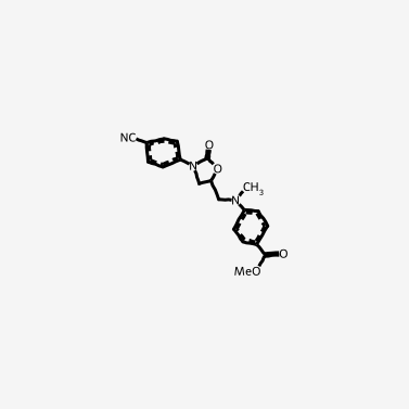 COC(=O)c1ccc(N(C)CC2CN(c3ccc(C#N)cc3)C(=O)O2)cc1